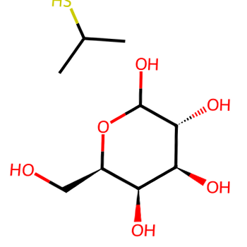 CC(C)S.OC[C@H]1OC(O)[C@H](O)[C@@H](O)[C@H]1O